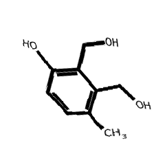 Cc1ccc(O)c(CO)c1CO